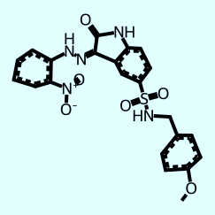 COc1ccc(CNS(=O)(=O)c2ccc3c(c2)/C(=N/Nc2ccccc2[N+](=O)[O-])C(=O)N3)cc1